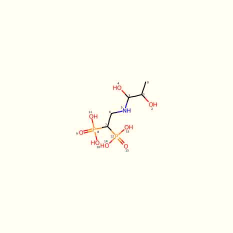 CC(O)C(O)NCC(P(=O)(O)O)P(=O)(O)O